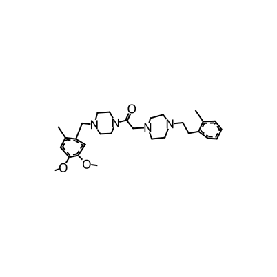 COc1cc(C)c(CN2CCN(C(=O)CN3CCN(CCc4ccccc4C)CC3)CC2)cc1OC